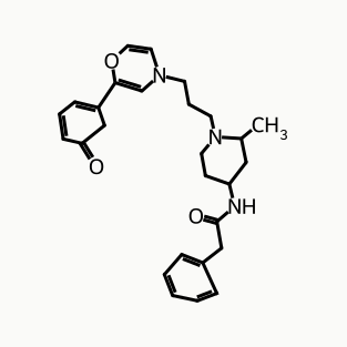 CC1CC(NC(=O)Cc2ccccc2)CCN1CCCN1C=COC(C2=CC=CC(=O)C2)=C1